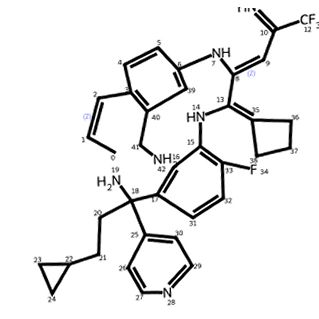 C/C=C\c1ccc(N/C(=C\C(=N)C(F)(F)F)C(Nc2cc(C(N)(CCC3CC3)c3ccncc3)ccc2F)=C2CCC2)cc1CN